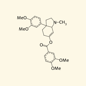 COc1ccc(C(=O)OC2=CC3N(C)CCC3(c3ccc(OC)c(OC)c3)CC2)cc1OC